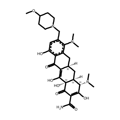 COC1CCN(Cc2cc(O)c3c(c2N(C)C)C[C@H]2C[C@H]4[C@H](N(C)C)C(O)=C(C(N)=O)C(=O)[C@@]4(O)C(O)=C2C3=O)CC1